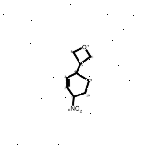 O=[N+]([O-])C1C=CC(C2COC2)CC1